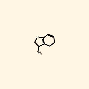 NC1COC2=C1CCC=C2